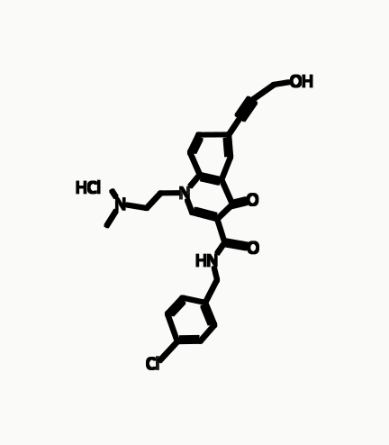 CN(C)CCn1cc(C(=O)NCc2ccc(Cl)cc2)c(=O)c2cc(C#CCO)ccc21.Cl